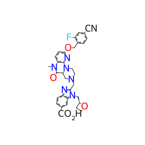 CN1C(=O)C2CN(Cc3nc4ccc(C(=O)O)cc4n3C[C@@H]3CCO3)CCN2c2nc(OCc3ccc(C#N)cc3F)ccc21